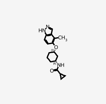 Cc1c(O[C@H]2CCC[C@@H](NC(=O)C3CC3)C2)ccc2[nH]ncc12